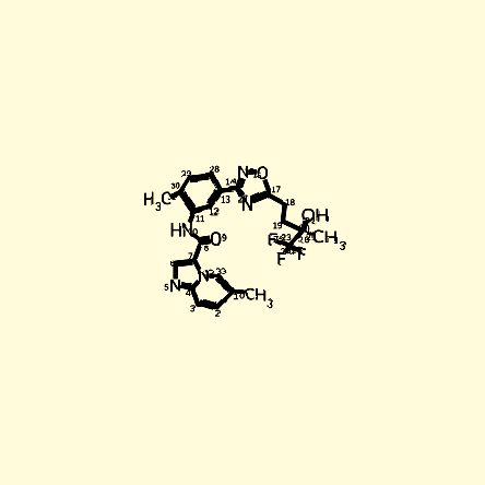 Cc1ccc2ncc(C(=O)Nc3cc(-c4noc(CC[C@@](C)(O)C(F)(F)F)n4)ccc3C)n2c1